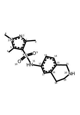 Cc1nn(C)c(C)c1S(=O)(=O)Nc1ccc2c(c1)CCNC2